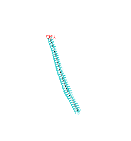 O=C(O)C(F)(F)C(F)(F)C(F)(F)C(F)(F)C(F)(F)C(F)(F)C(F)(F)C(F)(F)C(F)(F)C(F)(F)C(F)(F)C(F)(F)C(F)(F)C(F)(F)C(F)(F)C(F)(F)C(F)(F)C(F)(F)C(F)(F)C(F)(F)C(F)(F)C(F)(F)C(F)(F)C(F)(F)C(F)(F)C(F)(F)C(F)(F)C(F)(F)C(F)(F)C(F)(F)C(F)(F)C(F)(F)C(F)(F)C(F)(F)C(F)(F)C(F)(F)C(F)(F)C(F)(F)C(F)(F)F